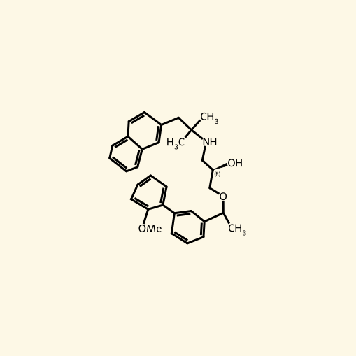 COc1ccccc1-c1cccc(C(C)OC[C@H](O)CNC(C)(C)Cc2ccc3ccccc3c2)c1